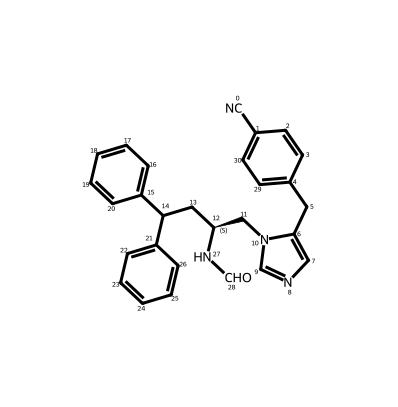 N#Cc1ccc(Cc2cncn2C[C@H](CC(c2ccccc2)c2ccccc2)NC=O)cc1